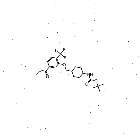 COC(=O)c1ccc(C(F)(F)F)c(OCC2CCC(NC(=O)OC(C)(C)C)CC2)c1